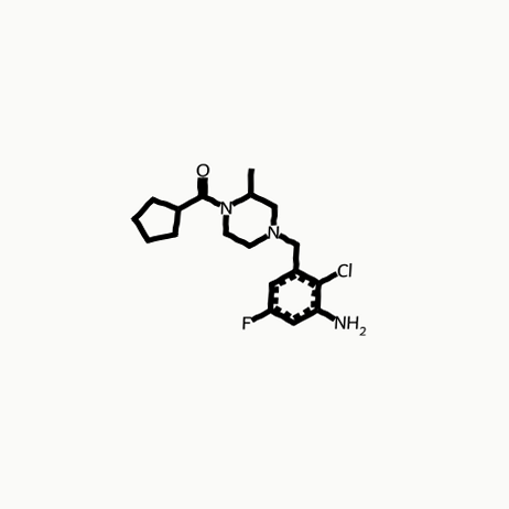 CC1CN(Cc2cc(F)cc(N)c2Cl)CCN1C(=O)C1CCCC1